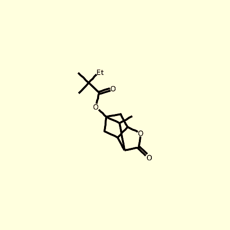 CCC(C)(C)C(=O)OC12CC3OC(=O)C(C3C1)C2C